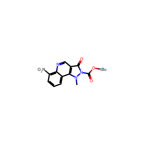 Cn1c2c(cnc3c([N+](=O)[O-])cccc32)c(=O)n1C(=O)OC(C)(C)C